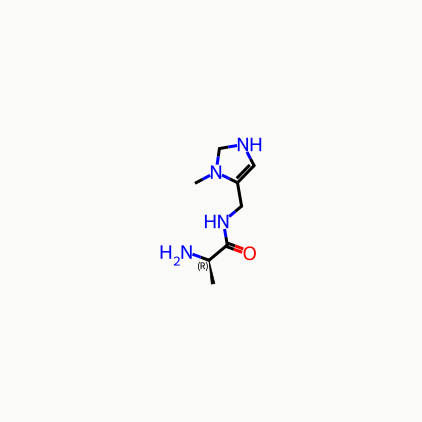 C[C@@H](N)C(=O)NCC1=CNCN1C